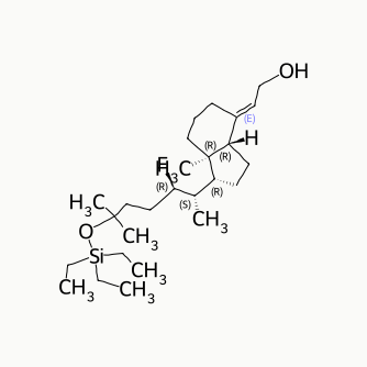 CC[Si](CC)(CC)OC(C)(C)CC[C@@H](F)[C@@H](C)[C@H]1CC[C@H]2/C(=C/CO)CCC[C@]12C